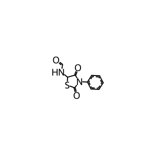 O=CNC1SC(=O)N(c2ccccc2)C1=O